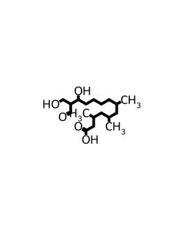 CC(CCCCC(O)C(C=O)CO)CC(C)CC(C)CC(=O)O